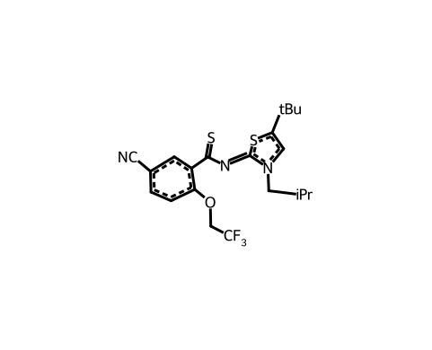 CC(C)Cn1cc(C(C)(C)C)s/c1=N\C(=S)c1cc(C#N)ccc1OCC(F)(F)F